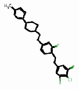 Cc1ccc(C2CCC(CCc3ccc(CCc4cc(F)c(Cl)c(F)c4)c(F)c3)CC2)cc1